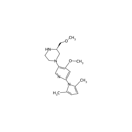 COC[C@H]1CN(c2cnc(-n3c(C)ccc3C)cc2OC)CCN1